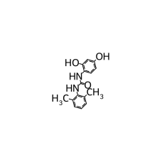 Cc1cccc(C)c1NC(=O)Nc1ccc(O)cc1O